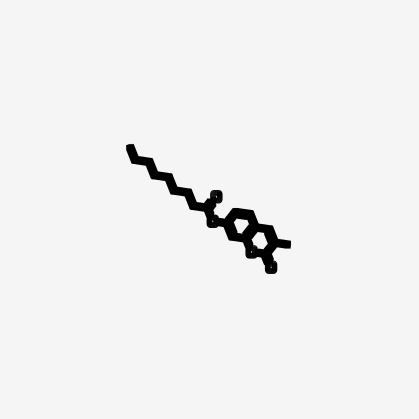 CCCCCCCCC(=O)Oc1ccc2cc(C)c(=O)oc2c1